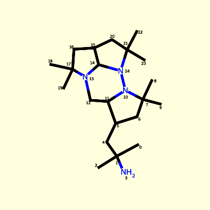 CC(C)(N)CC1CC(C)(C)N2C1CN1C3C(CC1(C)C)CC(C)(C)N32